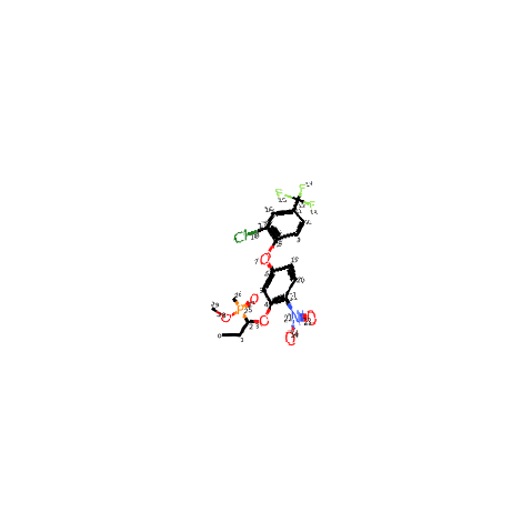 CCC(Oc1cc(Oc2ccc(C(F)(F)F)cc2Cl)ccc1[N+](=O)[O-])P(C)(=O)OC